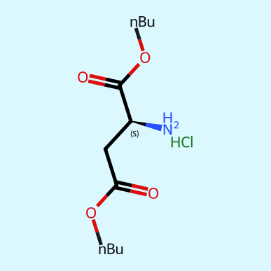 CCCCOC(=O)C[C@H](N)C(=O)OCCCC.Cl